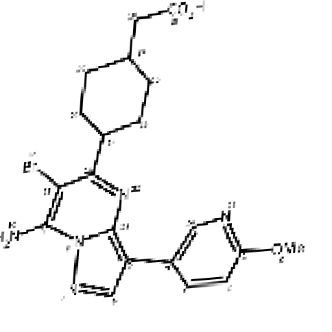 COc1ccc(-c2cnn3c(N)c(Br)c(C4CCC(CC(=O)O)CC4)nc23)cn1